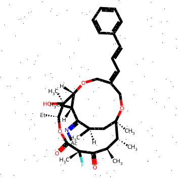 CC[C@H]1OC(=O)[C@@](C)(F)C(=O)[C@H](C)[C@@H](C)[C@@]2(C)C[C@@H](C)/C(=N\C(C)=O)[C@H](C)[C@@H](OC/C(=C\C=C\c3ccccc3)CO2)[C@]1(C)O